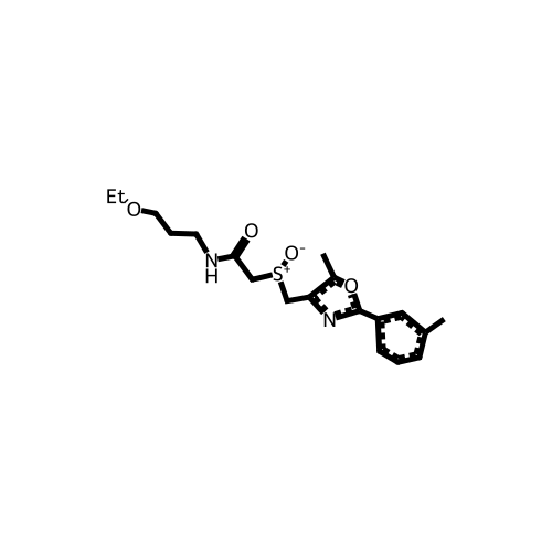 CCOCCCNC(=O)C[S+]([O-])Cc1nc(-c2cccc(C)c2)oc1C